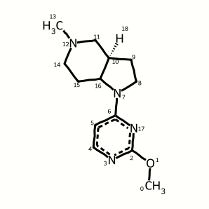 COc1nccc(N2CC[C@@H]3CN(C)CCC32)n1